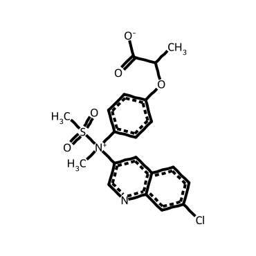 CC(Oc1ccc([N+](C)(c2cnc3cc(Cl)ccc3c2)S(C)(=O)=O)cc1)C(=O)[O-]